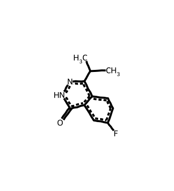 CC(C)c1n[nH]c(=O)c2cc(F)ccc12